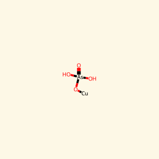 O=[As](O)(O)[O][Cu]